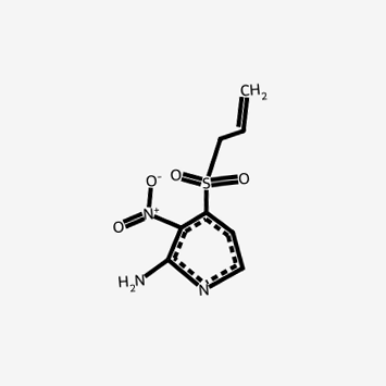 C=CCS(=O)(=O)c1ccnc(N)c1[N+](=O)[O-]